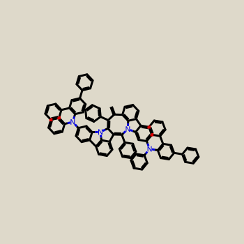 C=c1c(-c2ccccc2)c2c(c(-c3ccccc3)n3c4cc(N(c5ccccc5)c5ccc(-c6ccccc6)cc5-c5ccccc5)ccc4c4cccc1c43)c1cccc3c4ccc(N(c5ccccc5)c5ccc(-c6ccccc6)cc5-c5ccccc5)cc4n2c31